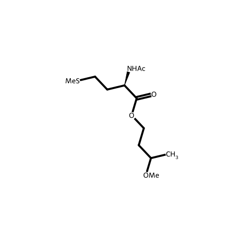 COC(C)CCOC(=O)[C@@H](CCSC)NC(C)=O